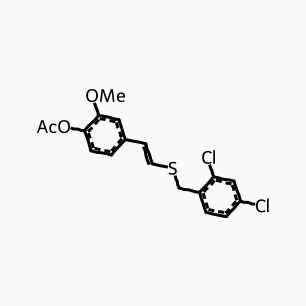 COc1cc(C=CSCc2ccc(Cl)cc2Cl)ccc1OC(C)=O